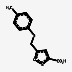 Cc1ccc(SCc2cc(C(=O)O)no2)cc1